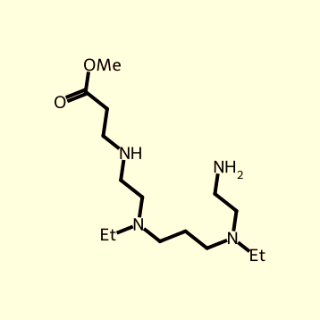 CCN(CCN)CCCN(CC)CCNCCC(=O)OC